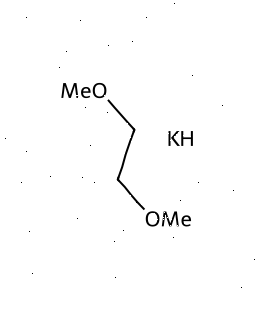 COCCOC.[KH]